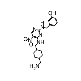 NCC1CCC(CNc2nc(NCc3cccc(O)c3)ncc2[N+](=O)[O-])CC1